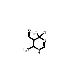 CC1(Cl)N=CNC(N)C1C=O